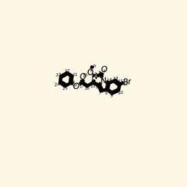 CON1C(=O)n2c(cc3ccc(Br)cc32)C1CC(=O)Oc1ccccc1